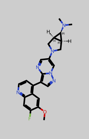 COc1cc2c(-c3cnn4cc(N5C[C@@H]6[C@H](C5)[C@@H]6N(C)C)cnc34)ccnc2cc1F